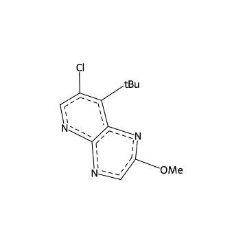 COc1cnc2ncc(Cl)c(C(C)(C)C)c2n1